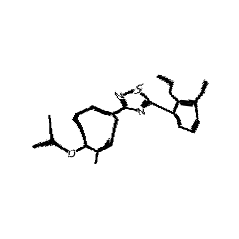 CCc1c(C)cccc1-c1nc(C2=CCC(OC(C)C)C(C)=C2)ns1